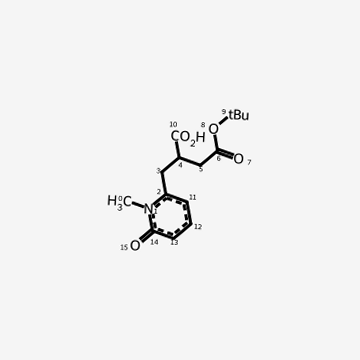 Cn1c(CC(CC(=O)OC(C)(C)C)C(=O)O)cccc1=O